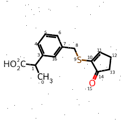 CC(C(=O)O)c1cccc(CSC2=CCCC2=O)c1